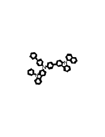 c1ccc(-c2ccc(N(c3ccc(-c4ccc5c(c4)c4ccccc4n5-c4cccc5ccccc45)cc3)c3ccc4c5ccccc5n(-c5ccccc5)c4c3)cc2)cc1